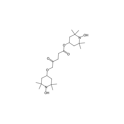 CC1(C)CC(OCC(=O)CCC(=O)OC2CC(C)(C)N(O)C(C)(C)C2)CC(C)(C)N1O